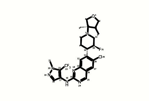 CC1COC[C@]1(C)N1CC[C@@H](c2cc3nc(Nc4cnn(C)c4C(F)(F)F)ncc3cc2Cl)[C@H](F)C1